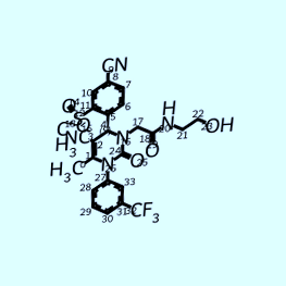 CC1=C(C#N)[C@@H](c2ccc(C#N)cc2S(C)(=O)=O)N(CC(=O)NCCO)C(=O)N1c1cccc(C(F)(F)F)c1